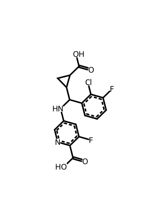 O=C(O)c1ncc(NC(c2cccc(F)c2Cl)C2CC2C(=O)O)cc1F